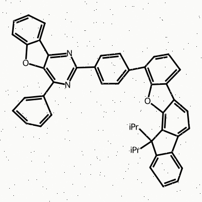 CC(C)C1(C(C)C)c2ccccc2-c2ccc3c(oc4c(-c5ccc(-c6nc(-c7ccccc7)c7oc8ccccc8c7n6)cc5)cccc43)c21